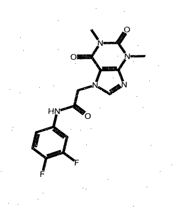 Cn1c(=O)c2c(ncn2CC(=O)Nc2ccc(F)c(F)c2)n(C)c1=O